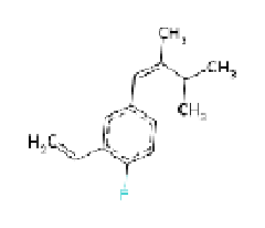 C=Cc1cc(/C=C(/C)C(C)C)ccc1F